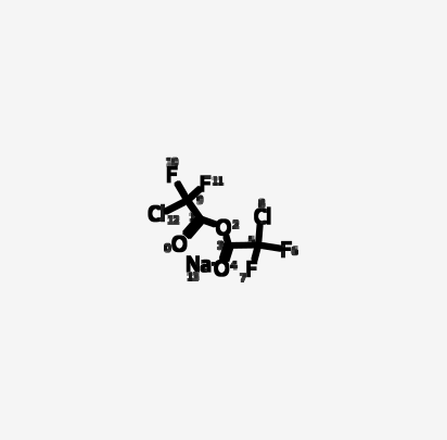 O=C(OC(=O)C(F)(F)Cl)C(F)(F)Cl.[Na]